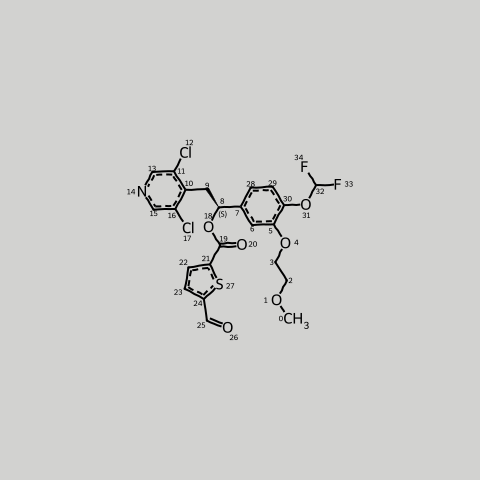 COCCOc1cc([C@H](Cc2c(Cl)cncc2Cl)OC(=O)c2ccc(C=O)s2)ccc1OC(F)F